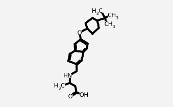 CC(CC(=O)O)NCc1ccc2cc(OC3CCC(C(C)(C)C)CC3)ccc2c1